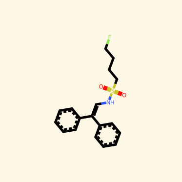 O=S(=O)(CCCCF)NC=C(c1ccccc1)c1ccccc1